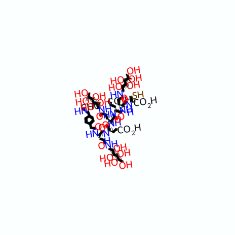 O=CNCc1ccc(CC(=O)N[C@@H](CCC(=O)NC[C@H](O)[C@@H](O)[C@H](O)[C@H](O)CO)C(=O)N[C@H](CCC(=O)O)C(=O)N[C@@H](CCC(=O)NC[C@H](O)[C@@H](O)[C@H](O)[C@H](O)CO)C(=O)N[C@H](CCC(=O)O)C(=O)N[C@@H](CCC(=O)NC[C@H](O)[C@@H](O)[C@H](O)[C@H](O)CO)C(=O)N[C@H](CS)C(=O)O)cc1